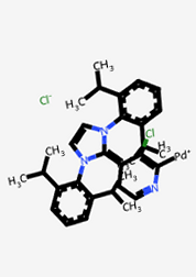 CC(C)c1cccc(C(C)C)c1N1C=CN(c2c(C(C)C)cccc2C(C)C)C1=C1CC=N[C]([Pd+])=C1Cl.[Cl-]